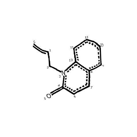 C=CCn1c(=O)ccc2ccccc21